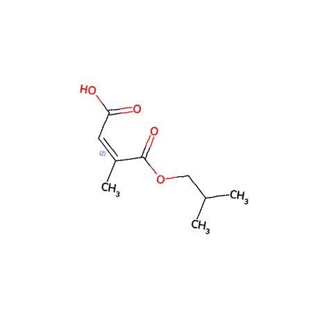 C/C(=C/C(=O)O)C(=O)OCC(C)C